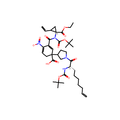 C=CCCCCC[C@H](NC(=O)OC(C)(C)C)C(=O)N1CCC(C2(C(=O)O)C=C(C(=O)N(C(=O)OC(C)(C)C)[C@]3(C(=O)OCC)CC3C=C)C([N+](=O)[O-])=CC2)C1